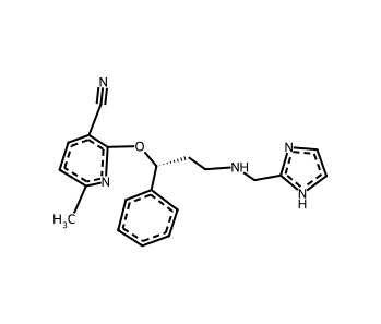 Cc1ccc(C#N)c(O[C@H](CCNCc2ncc[nH]2)c2ccccc2)n1